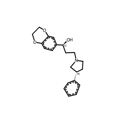 O[C@@H](CCN1CC[C@H](c2ccccc2)C1)c1ccc2c(c1)OCCO2